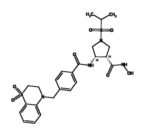 CC(C)S(=O)(=O)N1C[C@H](C(=O)NO)[C@H](NC(=O)c2ccc(CN3CCS(=O)(=O)c4ccccc43)cc2)C1